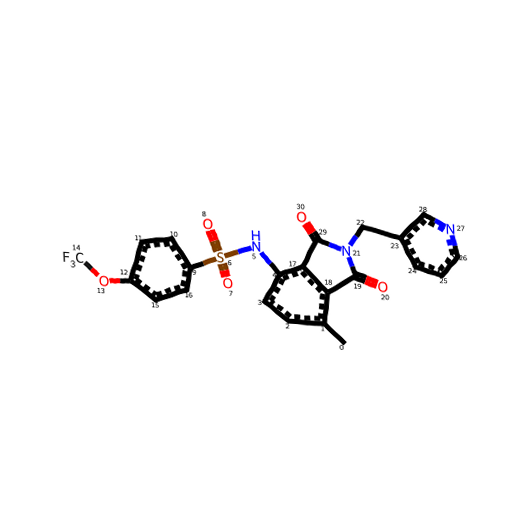 Cc1ccc(NS(=O)(=O)c2ccc(OC(F)(F)F)cc2)c2c1C(=O)N(Cc1cccnc1)C2=O